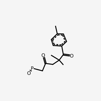 Cc1ccc(C(=O)C(C)(C)CC(=O)CP=O)cc1